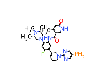 C[C@@H]1CN(c2cc(F)c(C3=CCCN(c4ncc(P)cn4)C3)cc2NC(=O)c2c[nH]c(=O)cc2C(F)(F)F)C[C@H](C)N1C